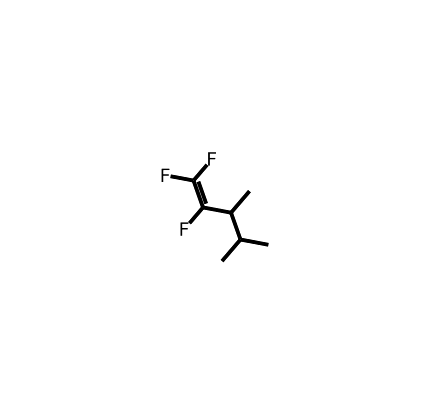 CC(C)C(C)C(F)=C(F)F